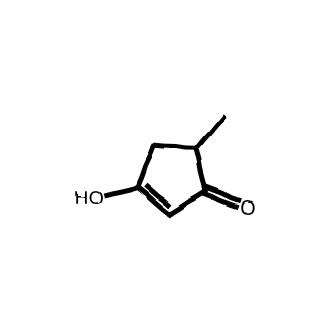 CC1CC(O)=CC1=O